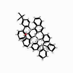 CC(C)(C)c1ccc(N2c3sc4ccccc4c3B3c4c(cc5ccccc5c42)-c2cccc4c2N3c2ccccc2[Si]4(c2ccccc2)c2ccccc2)c(-c2ccccc2)c1